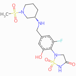 CS(=O)(=O)N1CCC[C@@H](NCc2cc(O)c(N3CC(=O)NS3(=O)=O)c(F)c2)C1